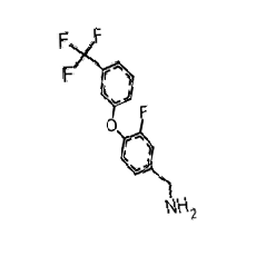 NCc1ccc(Oc2cccc(C(F)(F)F)c2)c(F)c1